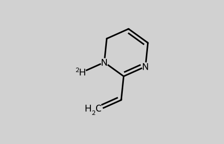 [2H]N1CC=CN=C1C=C